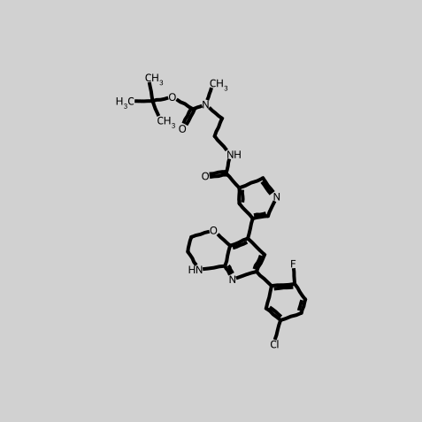 CN(CCNC(=O)c1cncc(-c2cc(-c3cc(Cl)ccc3F)nc3c2OCCN3)c1)C(=O)OC(C)(C)C